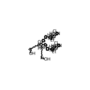 CCn1nc(-c2cccc(-c3ccc(C(C(=O)NCCCCCCCN(C)CCO)C(C(=O)NCCCCCCCN(C)CCO)c4cccc(-c5cccc(-c6cc(NC(=O)Nc7c(Cl)cncc7Cl)c(=O)n(CC)n6)c5)c4)cc3)c2)cc(NC(=O)Nc2c(Cl)cncc2Cl)c1=O